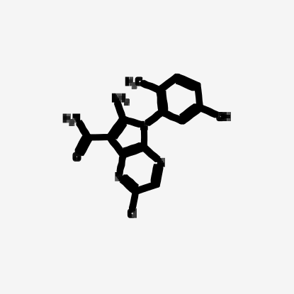 Cc1ccc(O)cc1-n1c(N)c(C(N)=O)c2nc(Cl)cnc21